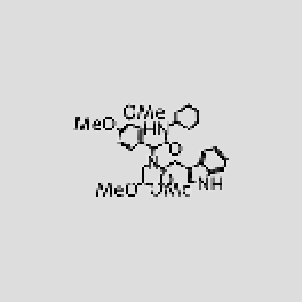 COc1ccc(C(C(=O)NC2CCCCC2)N(CC(OC)OC)C(=O)Cc2c[nH]c3ccccc23)cc1OC